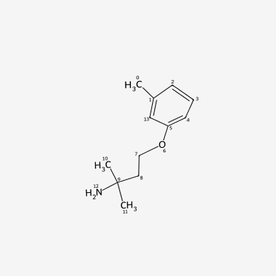 Cc1cccc(OCCC(C)(C)N)c1